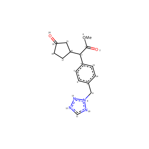 COC(=O)C(c1ccc(Cn2ncnn2)cc1)C1CCC(=O)C1